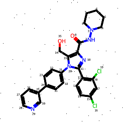 O=C(NN1CCCCC1)c1nc(-c2ccc(Cl)cc2Cl)n(-c2ccc(-c3cccnc3)cc2)c1CO